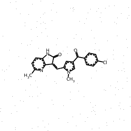 Cc1ccc2c(n1)C(=Cc1cc(C(=O)c3ccc(Cl)cc3)cn1C)C(=O)N2